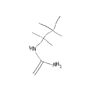 C=C(N)NC(C)(C)C(C)(C)C